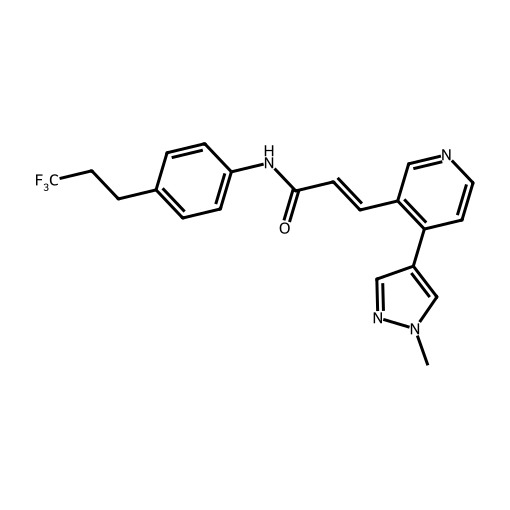 Cn1cc(-c2ccncc2C=CC(=O)Nc2ccc(CCC(F)(F)F)cc2)cn1